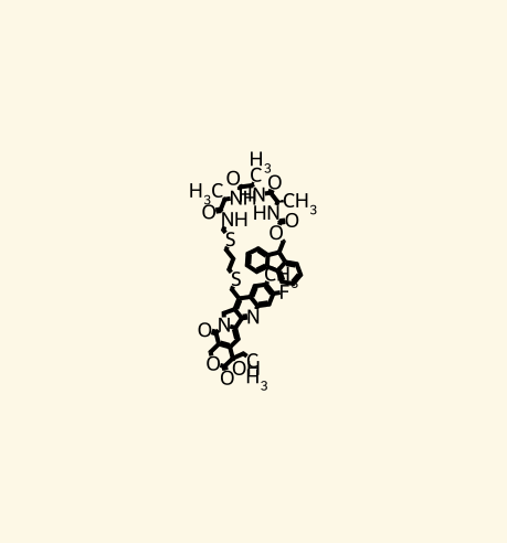 CC[C@@]1(O)C(=O)OCc2c1cc1n(c2=O)Cc2c-1nc1cc(F)c(C)cc1c2CSCCCSCNC(=O)[C@@H](C)NC(=O)[C@@H](C)NC(=O)[C@@H](C)NC(=O)OCC1c2ccccc2-c2ccccc21